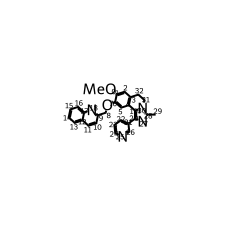 COc1cc2c(cc1OCc1ccc3ccccc3n1)-c1c(-c3cccnc3)nc(C)n1CC2